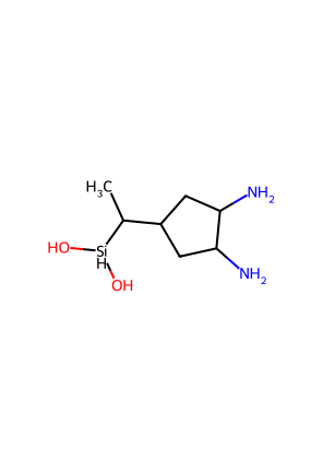 CC(C1CC(N)C(N)C1)[SiH](O)O